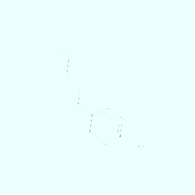 COc1ncc(CSCCC(F)(F)F)cn1